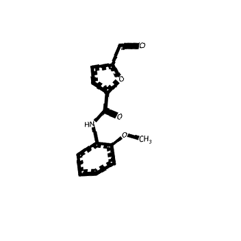 COc1ccccc1NC(=O)c1ccc(C=O)o1